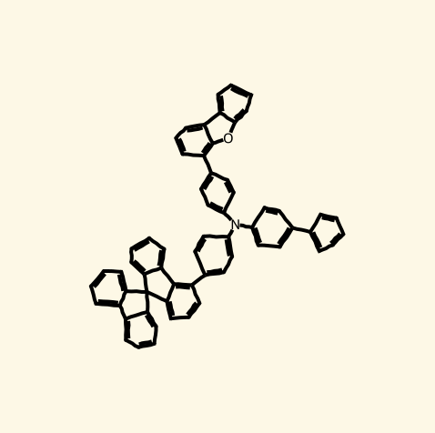 c1ccc(-c2ccc(N(c3ccc(-c4cccc5c4-c4ccccc4C54c5ccccc5-c5ccccc54)cc3)c3ccc(-c4cccc5c4oc4ccccc45)cc3)cc2)cc1